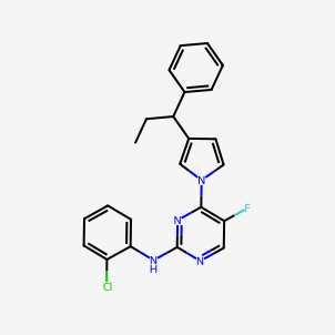 CCC(c1ccccc1)c1ccn(-c2nc(Nc3ccccc3Cl)ncc2F)c1